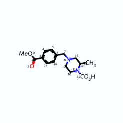 COC(=O)c1ccc(CN2CCN(C(=O)O)C(C)C2)cc1